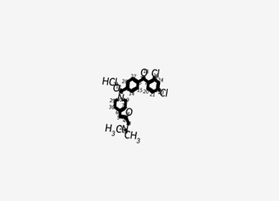 CN(C)Cc1cc2c(o1)CN(C(=O)c1ccc(C(=O)c3ccc(Cl)cc3Cl)cc1)CC2.Cl